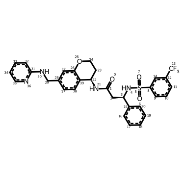 O=C(C[C@@H](NS(=O)(=O)c1cccc(C(F)(F)F)c1)c1ccccc1)N[C@@H]1CCOc2cc(CNc3ccccn3)ccc21